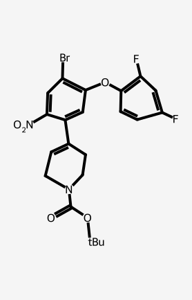 CC(C)(C)OC(=O)N1CC=C(c2cc(Oc3ccc(F)cc3F)c(Br)cc2[N+](=O)[O-])CC1